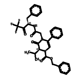 CC(C)[C@H]1C(=O)N(CC(=O)N[C@@H](Cc2ccccc2)C(=O)C(F)(F)F)C(c2ccccc2)=CN1C(=O)OCc1ccccc1